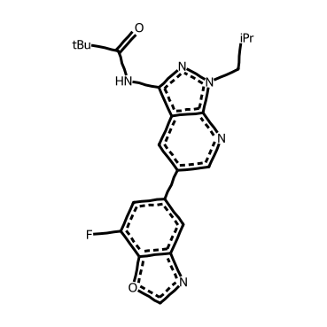 CC(C)Cn1nc(NC(=O)C(C)(C)C)c2cc(-c3cc(F)c4ocnc4c3)cnc21